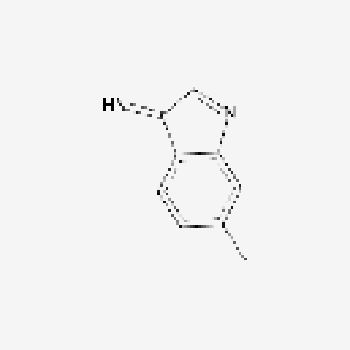 Cc1ccc2c(c1)N=CC2=N